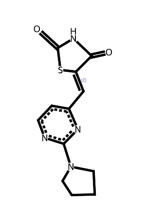 O=C1NC(=O)/C(=C/c2ccnc(N3CCCC3)n2)S1